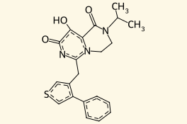 CC(C)N1CCn2c(Cc3cscc3-c3ccccc3)nc(=O)c(O)c2C1=O